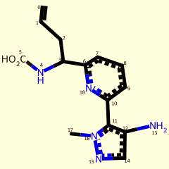 C=CCC(NC(=O)O)c1cccc(-c2c(N)cnn2C)n1